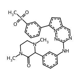 CN1CCN(C)C(c2cccc(Nc3ncc4ccc(-c5cccc(S(C)(=O)=O)c5)n4n3)c2)C1=O